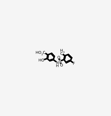 Cc1ccc(F)cc1S(=O)(=O)Nc1ccc(C(=O)O)c(O)c1